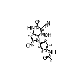 CC(=O)Nc1ccc(-n2c(Cl)cc3[nH]c(=O)c(C#N)c(O)c32)cc1